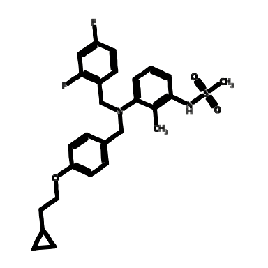 Cc1c(NS(C)(=O)=O)cccc1N(Cc1ccc(OCCC2CC2)cc1)Cc1ccc(F)cc1F